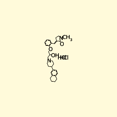 CN1CCC(=Cc2ccccc2OC[C@@H](O)CN2CCC(c3ccc4c(c3)CCCC4)CC2)C1=O.Cl.Cl